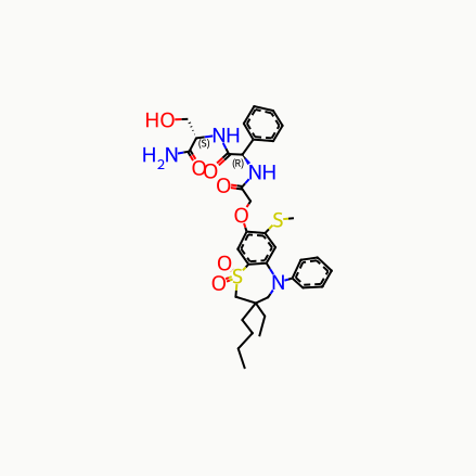 CCCCC1(CC)CN(c2ccccc2)c2cc(SC)c(OCC(=O)N[C@@H](C(=O)N[C@@H](CO)C(N)=O)c3ccccc3)cc2S(=O)(=O)C1